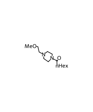 CCCCCCC(=O)N1CCN(CCOC)CC1